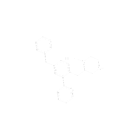 O=C(O)N1CCNCC1Cc1ccc(Cc2ccccc2)cc1-c1ccccn1